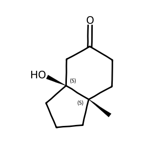 C[C@@]12CCC[C@]1(O)CC(=O)CC2